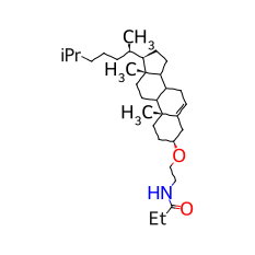 CCC(=O)NCCO[C@H]1CC[C@@]2(C)C(=CCC3C2CC[C@@]2(C)C3CC[C@@H]2[C@H](C)CCCC(C)C)C1